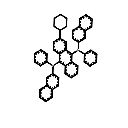 c1ccc(N(c2ccc3ccccc3c2)c2c3ccccc3c(N(c3ccccc3)c3ccc4ccccc4c3)c3cc(C4CCCCC4)ccc23)cc1